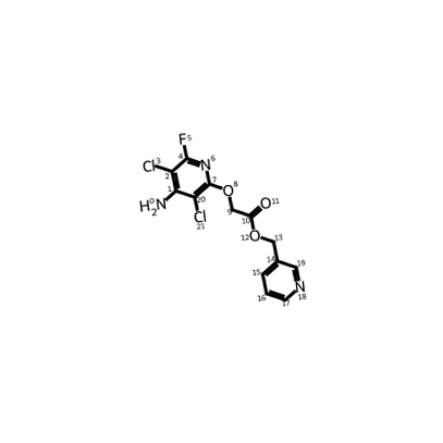 Nc1c(Cl)c(F)nc(OCC(=O)OCc2cccnc2)c1Cl